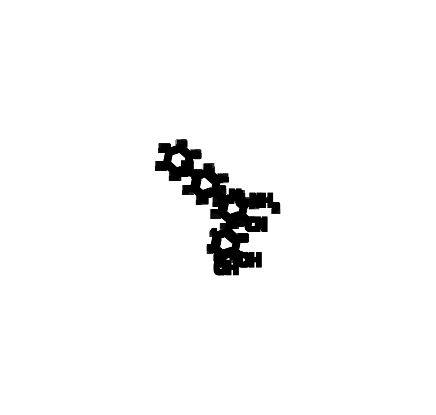 N#Cc1c(-c2ccc(O)c(O)c2)cc(-c2ccc(N3CCCCC3)cc2)nc1N